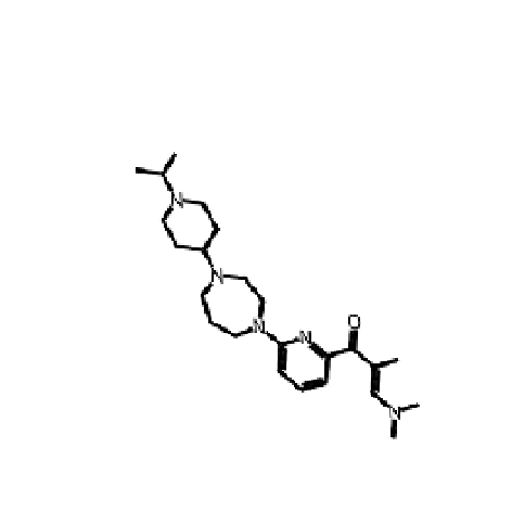 CC(=CN(C)C)C(=O)c1cccc(N2CCCN(C3CCN(C(C)C)CC3)CC2)n1